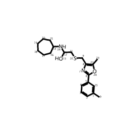 Cc1cccc(-c2nc(CSCC(O)NC3CCCCCC3)c(C)o2)c1